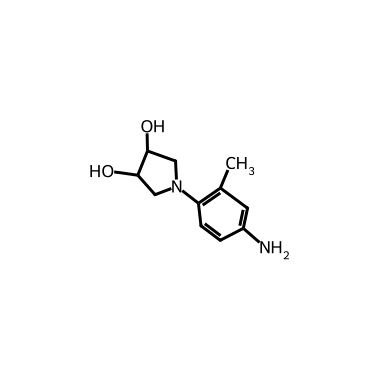 Cc1cc(N)ccc1N1CC(O)C(O)C1